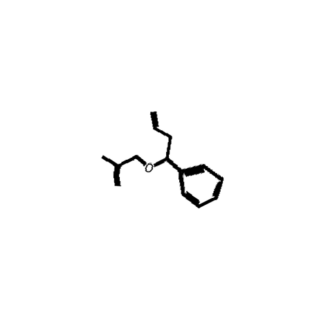 C=CCC(OCC(=C)C)c1ccccc1